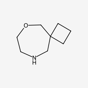 C1CC2(C1)CNCCOC2